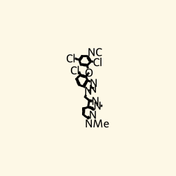 [C-]#[N+]c1cc(Cl)cc(Oc2c(Cl)ccc3c2nnn3Cc2nn(C)c3nc(NC)ccc23)c1Cl